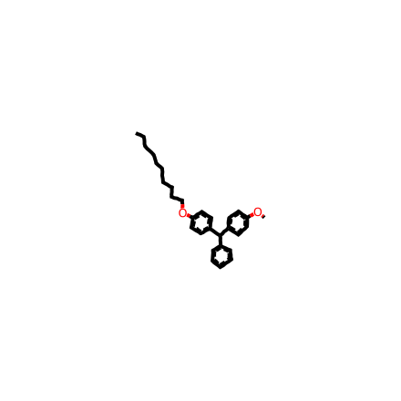 CCCCCCCCCCOc1ccc(C(c2ccccc2)c2ccc(OC)cc2)cc1